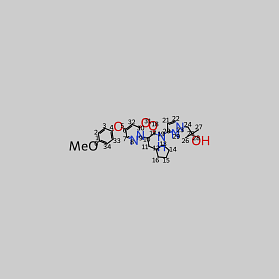 COc1ccc(Oc2cnn(C(CC3CCCC3)C(=O)Nc3ccn(CC(C)(C)O)n3)c(=O)c2)cc1